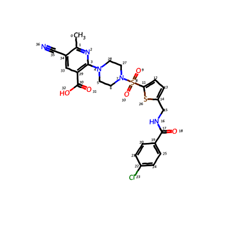 Cc1nc(N2CCN(S(=O)(=O)c3ccc(CNC(=O)c4ccc(Cl)cc4)s3)CC2)c(C(=O)O)cc1C#N